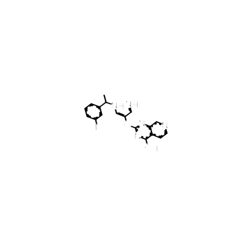 CC(N/C=C(\C=N)Oc1nc(O)c2ccncc2n1)c1cccc(F)c1